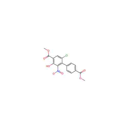 COC(=O)c1ccc(-c2c(Cl)cc(C(=O)OC)c(O)c2[N+](=O)[O-])cc1